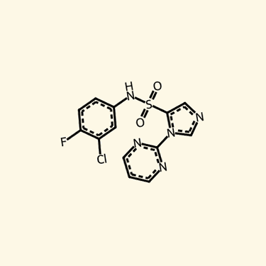 O=S(=O)(Nc1ccc(F)c(Cl)c1)c1cncn1-c1ncccn1